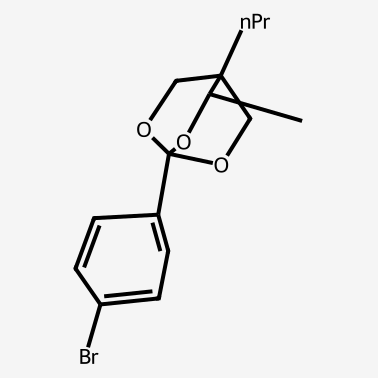 CCCC12COC(c3ccc(Br)cc3)(OC1)OC2C